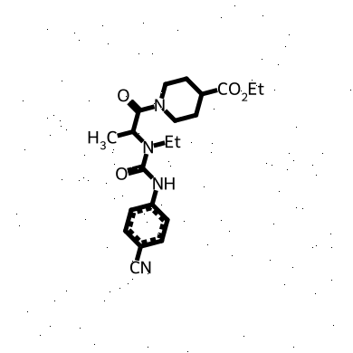 CCOC(=O)C1CCN(C(=O)C(C)N(CC)C(=O)Nc2ccc(C#N)cc2)CC1